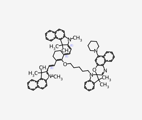 CN1/C(=C/C=C2\CCCC(/C=C/C3=[N+](C)c4ccc5ccccc5c4C3(C)C)=C2OCCCCCN2c3ccccc3C(C)(C)C23C=Nc2c(cc(N4CCCCC4)c4ccccc24)O3)C(C)(C)c2c1ccc1ccccc21